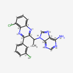 CC(c1nc2cccc(Cl)c2nc1-c1cccc(F)c1)n1cnc2c(N)ncnc21